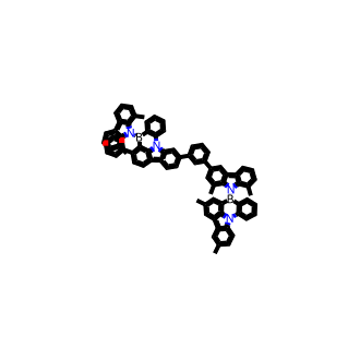 Cc1ccc2c(c1)c1cc(C)cc3c1n2-c1ccccc1B3n1c2c(C)cccc2c2cc(-c3cccc(-c4ccc5c6ccc(-c7ccccc7)c7c6n(c5c4)-c4ccccc4B7n4c5c(C)cccc5c5cccc(C)c54)c3)cc(C)c21